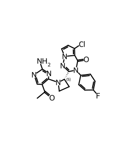 CC(=O)c1cnc(N)nc1N1CC[C@H]1c1nn2ccc(Cl)c2c(=O)n1-c1ccc(F)cc1